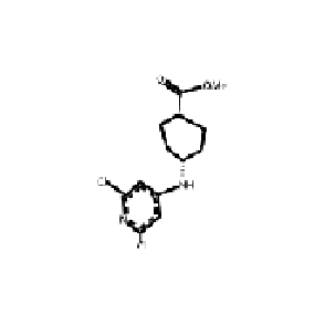 COC(=O)[C@H]1CC[C@H](Nc2cc(Cl)nc(Cl)c2)CC1